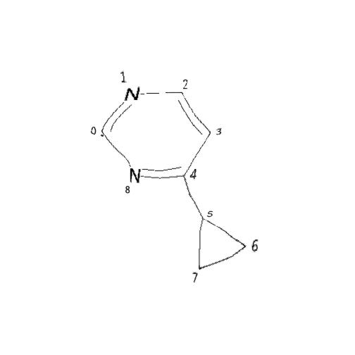 [c]1nccc(C2CC2)n1